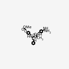 COC(=O)COc1ccc(CN[C@H](CCc2ccccc2)C(=O)N[C@@H](C)C(=O)NCc2ccc(C(=N)N)cc2)cc1